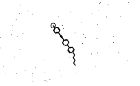 CCCCCc1ccc(C2CC=C(C#Cc3ccc(OC)cc3)CC2)cc1